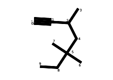 [C]#CC(C)CC(C)(C)CC